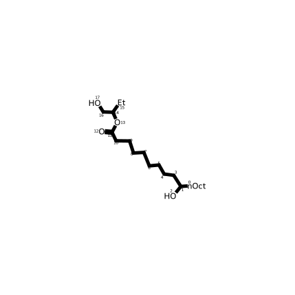 CCCCCCCCC(O)CCCCCCCCC(=O)OC(CC)CO